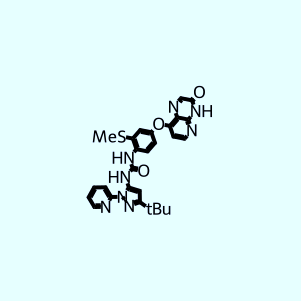 CSc1cc(Oc2ccnc3[nH]c(=O)cnc23)ccc1NC(=O)Nc1cc(C(C)(C)C)nn1-c1ccccn1